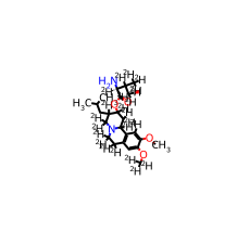 [2H]c1c(OC)c(OC([2H])([2H])[2H])cc2c1C1([2H])N(C([2H])([2H])C2([2H])[2H])C([2H])([2H])C([2H])(CC(C)C)C([2H])(OC(=O)[C@@]([2H])(N)C([2H])(C([2H])([2H])[2H])C([2H])([2H])[2H])C1([2H])[2H]